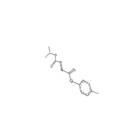 Cc1ccc(OC(=O)/N=N/C(=O)OC(C)C)cc1